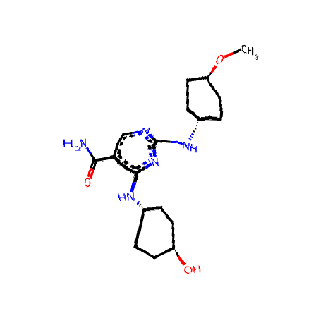 CO[C@H]1CC[C@H](Nc2ncc(C(N)=O)c(N[C@H]3CC[C@H](O)CC3)n2)CC1